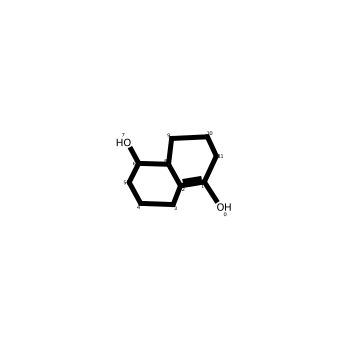 OC1=C2CCCC(O)C2CCC1